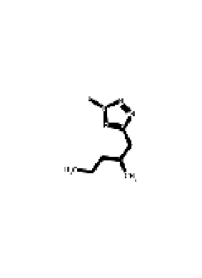 CCCC(C)Cc1nnn(I)n1